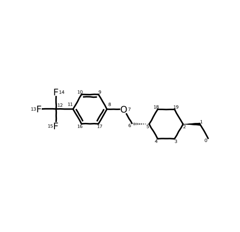 CC[C@H]1CC[C@H](COc2ccc(C(F)(F)F)cc2)CC1